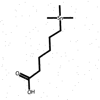 [CH3][Sn]([CH3])([CH3])[CH2]CCCCC(=O)O